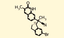 Cc1cc2ccc([C@](C)(C#N)[C@H]3CCc4ccc(Br)cc43)cc2[nH]c1=O